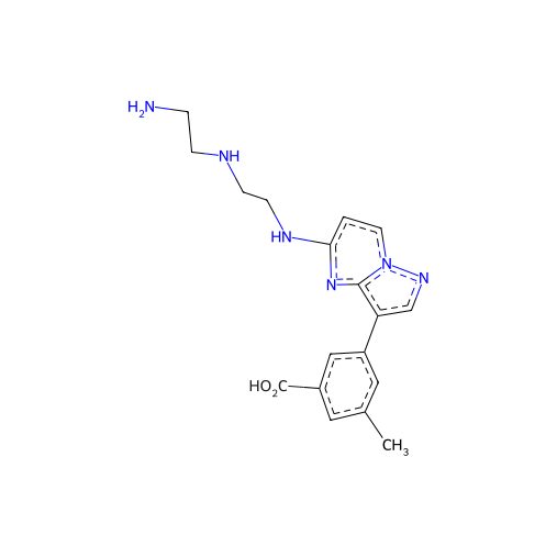 Cc1cc(C(=O)O)cc(-c2cnn3ccc(NCCNCCN)nc23)c1